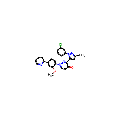 COc1cc(-c2ccccn2)ccc1-n1ccc(=O)c(-c2cc(C)nn2-c2cccc(Cl)c2)n1